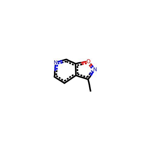 Cc1noc2cnccc12